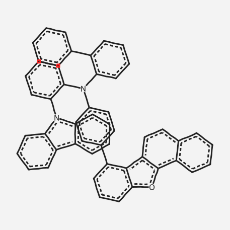 c1ccc(-c2ccccc2N(c2ccc(-c3cccc4oc5c6ccccc6ccc5c34)cc2)c2ccccc2-n2c3ccccc3c3ccccc32)cc1